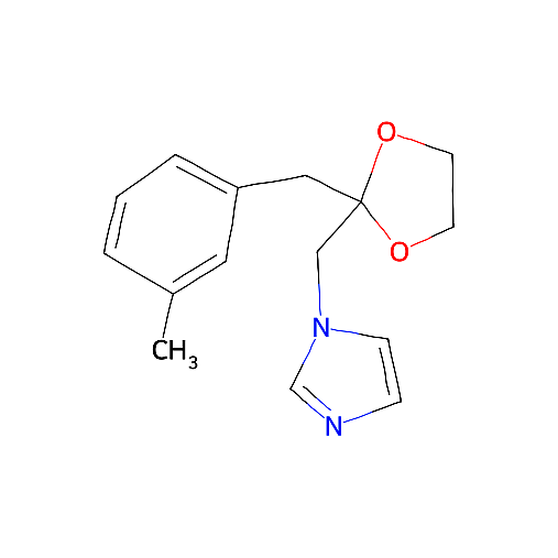 Cc1cccc(CC2(Cn3ccnc3)OCCO2)c1